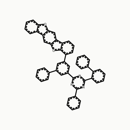 c1ccc(-c2cc(-c3nc(-c4ccccc4)nc(-c4ccccc4-c4ccccc4)n3)cc(-c3cccc4c3oc3cc5c(cc34)oc3ccccc35)c2)cc1